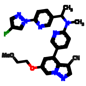 COCCOc1cc(-c2ccc(N(C)C(C)c3ccc(-n4cc(F)cn4)nc3)nc2)c2c(C#N)cnn2c1